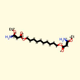 CCOC(N)=CC(=O)OCCCCCCCCCCOC(=O)C=C(N)OCC